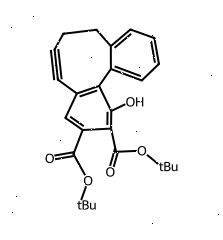 CC(C)(C)OC(=O)c1cc2c(c(O)c1C(=O)OC(C)(C)C)-c1ccccc1CCC#C2